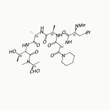 CN[C@@H](CC(C)C)C(=O)N[C@@H](C(=O)N[C@H](C)C(=O)N[C@@H](C)C(=O)NC(C(=O)N(C)[C@@H](C)C=O)[C@@H](C)O)C(=O)N1CCCCC1